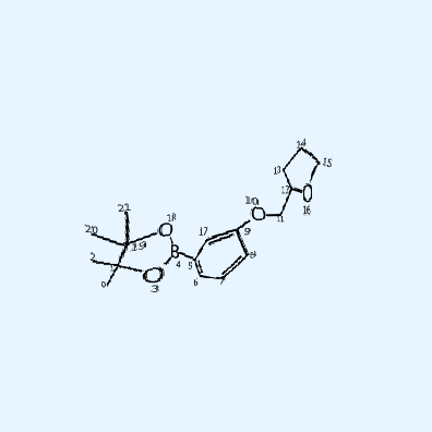 CC1(C)OB(c2cccc(OCC3CCCO3)c2)OC1(C)C